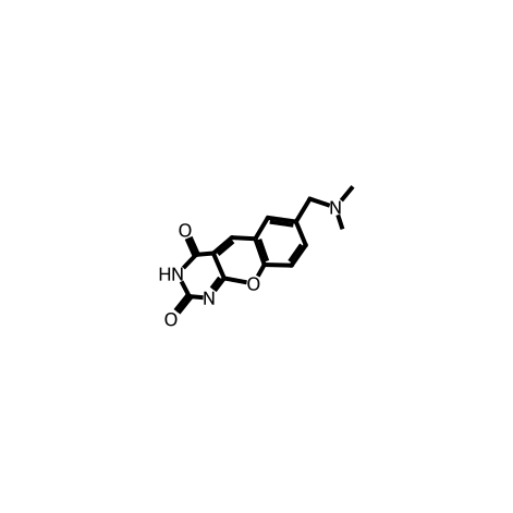 CN(C)Cc1ccc2oc3nc(=O)[nH]c(=O)c-3cc2c1